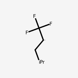 CC(C)C[CH]C(F)(F)F